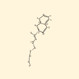 CCCCCO/C=C(\C)c1ccc2ccccc2c1